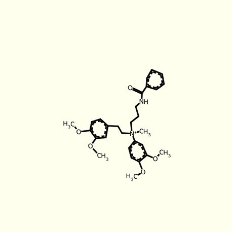 COc1ccc(CC[N+](C)(CCCNC(=O)c2ccccc2)c2ccc(OC)c(OC)c2)cc1OC